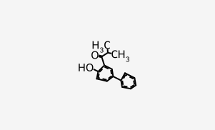 CC(C)C(=O)c1cc(-c2ccccc2)ccc1O